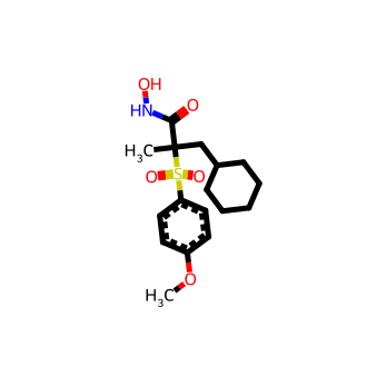 COc1ccc(S(=O)(=O)C(C)(CC2CCCCC2)C(=O)NO)cc1